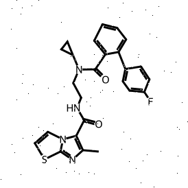 Cc1nc2sccn2c1C(=O)NCCN(C(=O)c1ccccc1-c1ccc(F)cc1)C1CC1